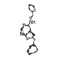 C(=NNc1ncnc2sc(Cc3ccccc3)cc12)c1cccs1